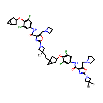 CCC1(CC)CN(c2nc(C(=O)Nc3cc(F)c(OC4CC5CC5(CCC5(CC)CN(c6nc(C(=O)Nc7cc(F)c(OC8CC9CC9C8)c(F)c7)c(CN7CCC7)o6)C5)C4)c(F)c3)c(CN3CCCC3)o2)C1